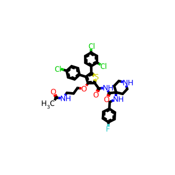 CC(=O)NCCCOc1c(C(=O)NC(=O)C2(NCc3ccc(F)cc3)CCNCC2)sc(-c2ccc(Cl)cc2Cl)c1-c1ccc(Cl)cc1